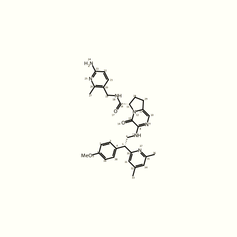 COc1ccc([C@H](CNc2ncc3n(c2=O)[C@H](C(=O)NCc2ccc(N)nc2C)CC3)c2cc(C)cc(C)n2)cc1